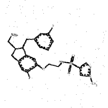 CNCC1Cc2cc(F)c(OCCNS(=O)(=O)c3cnn(C)c3)cc2C1Cc1cccc(F)c1